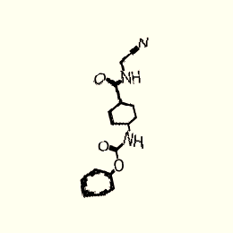 N#CCNC(=O)C1CCC(NC(=O)Oc2ccccc2)CC1